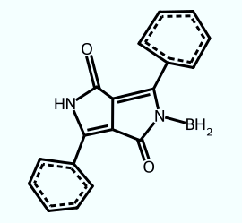 BN1C(=O)C2=C(c3ccccc3)NC(=O)C2=C1c1ccccc1